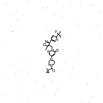 Cc1onc(-c2ccc(C(F)(F)F)nc2)c1Cn1ncc(N2CCN(C(=O)C3(C)CC3)CC2)cc1=O